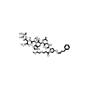 COCCOCCC(=O)N1C[C@H](O/N=C\CCc2ccccc2)C[C@H]1C(=O)N[C@@H](CC(C)C)C(=O)N[C@@H](Cc1cnc[nH]1)C(=O)N[C@@H](CO)C(=O)N[C@H](C(N)=O)C(C)OP(=O)(O)O